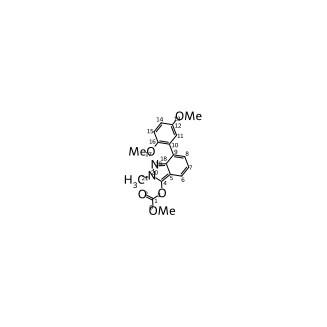 COC(=O)Oc1c2cccc(-c3cc(OC)ccc3OC)c2nn1C